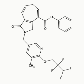 Cc1cc(CN2CC3=C(C=CCC=C3C(=O)Oc3ccccc3)C2=O)cnc1OCC(F)(F)C(F)F